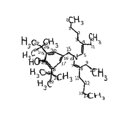 CCCCC(=CN(C=C(CC)CCCC)Cc1cc(C(C)(C)C)c(O)c(C(C)(C)C)c1)CC